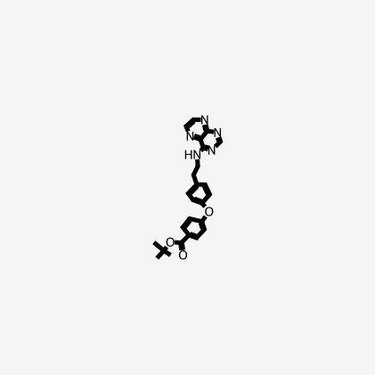 CC(C)(C)OC(=O)c1ccc(Oc2ccc(CCNc3ncnc4nccnc34)cc2)cc1